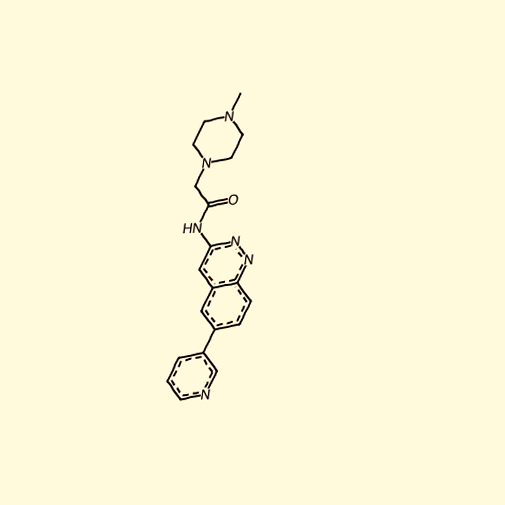 CN1CCN(CC(=O)Nc2cc3cc(-c4cccnc4)ccc3nn2)CC1